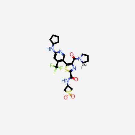 C[C@H]1CCCN1C(=O)c1nc(C(=O)NC2CS(=O)(=O)C2)sc1-c1cnc(NC2CCCC2)cc1C(F)(F)F